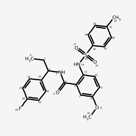 CCC(NC(=O)c1cc(OC)ccc1NS(=O)(=O)c1ccc(C)cc1)c1ccc(F)cc1